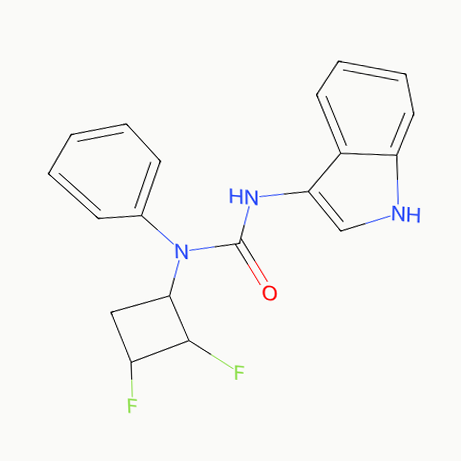 O=C(Nc1c[nH]c2ccccc12)N(c1ccccc1)C1CC(F)C1F